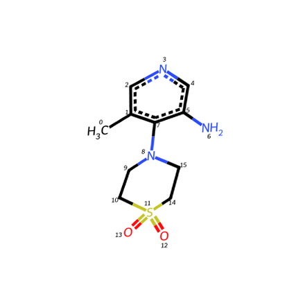 Cc1cncc(N)c1N1CCS(=O)(=O)CC1